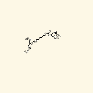 CCCCOCC(CN1CC1C)OCNCCCCCCNC(=O)OC(COCCCC)CN1CC1C